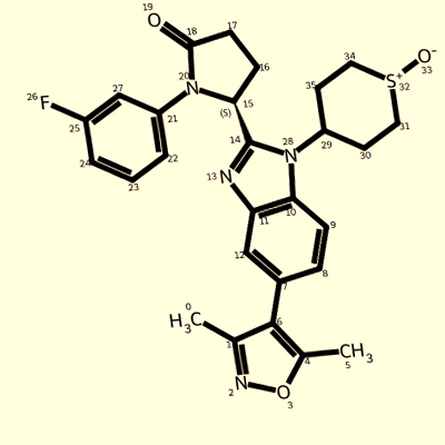 Cc1noc(C)c1-c1ccc2c(c1)nc([C@@H]1CCC(=O)N1c1cccc(F)c1)n2C1CC[S+]([O-])CC1